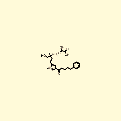 Cn1cc(C(=O)CCCCc2ccccc2)cc1CC[C@@](C)(N)CO.O=C(O)C(=O)O